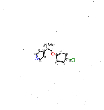 CNC(COc1ccc(Cl)cc1)c1ccncc1